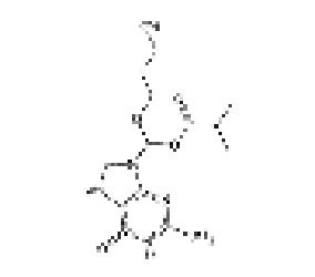 CC(C)C(=O)OC(OCCCO)N1CNc2c1nc(N)[nH]c2=O